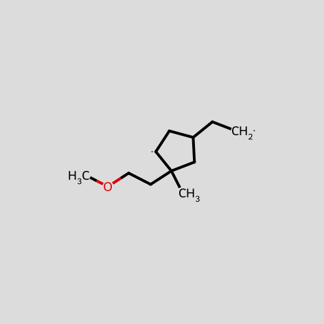 [CH2]CC1C[CH]C(C)(CCOC)C1